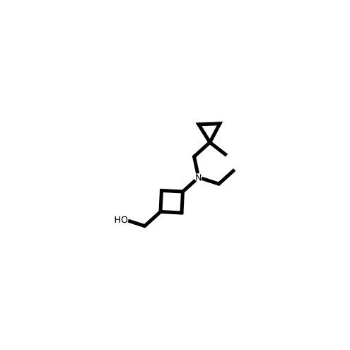 CCN(CC1(C)CC1)C1CC(CO)C1